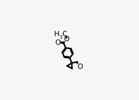 COC(=O)c1ccc(C2(C=O)CC2)cc1